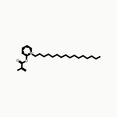 C=C(C)C(=O)Oc1cccc[n+]1CCCCCCCCCCCCCCCC